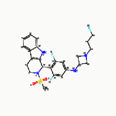 CS(=O)(=O)N1CCc2c([nH]c3ccccc23)[C@@H]1c1c(F)cc(NC2CN(CCCF)C2)cc1F